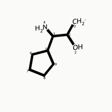 [CH2]C(O)C(N)C1CCCC1